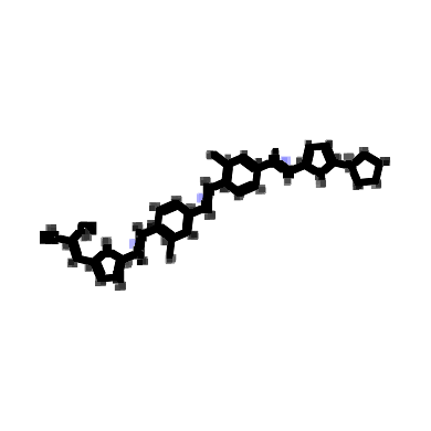 Cc1cc(/N=N/c2ccc(N3CCCC3)s2)ccc1/N=N/c1ccc(/N=N/c2ncc(C=C(C#N)C#N)s2)c(C)c1